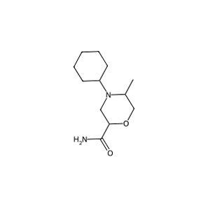 CC1COC(C(N)=O)CN1C1CCCCC1